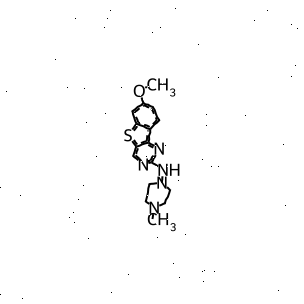 COc1ccc2c(c1)sc1cnc(NN3CCN(C)CC3)nc12